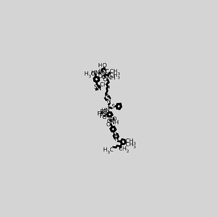 C=C(CCCC)C1=C(CN2CCN(c3ccc(C(=O)NS(=O)(=O)c4ccc(N[C@H](CCN5CCN(CCCCCCC(=O)N[C@H](C(=O)N6C[C@H](O)C[C@H]6C(=O)N[C@@H](C)c6ccc(-c7scnc7C)cc6)C(C)(C)C)CC5)CSc5ccccc5)c(S(=O)(=O)C(F)(F)F)c4)cc3)CC2)CCC(C)(C)C1